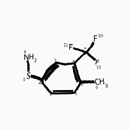 Cc1ccc(SN)cc1C(F)(F)F